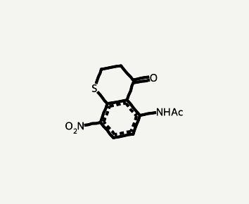 CC(=O)Nc1ccc([N+](=O)[O-])c2c1C(=O)CCS2